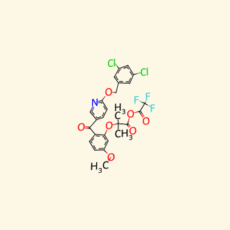 COc1ccc(C(=O)c2ccc(OCc3cc(Cl)cc(Cl)c3)nc2)c(OC(C)(C)C(=O)OC(=O)C(F)(F)F)c1